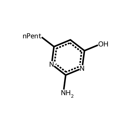 CCCCCc1cc(O)nc(N)n1